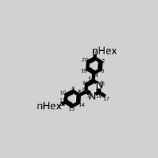 CCCCCCc1ccc(-c2cc(-c3ccc(CCCCCC)cc3)nc(C)n2)cc1